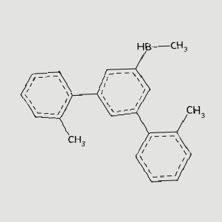 CBc1cc(-c2ccccc2C)cc(-c2ccccc2C)c1